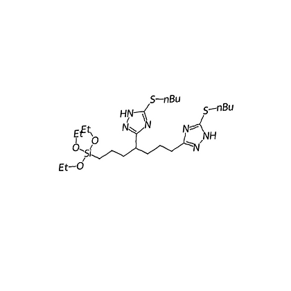 CCCCSc1nc(CCCC(CCC[Si](OCC)(OCC)OCC)c2n[nH]c(SCCCC)n2)n[nH]1